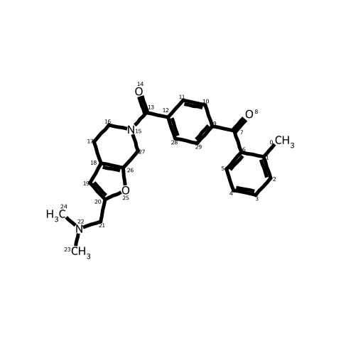 Cc1ccccc1C(=O)c1ccc(C(=O)N2CCc3cc(CN(C)C)oc3C2)cc1